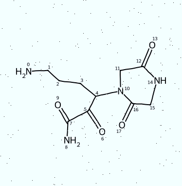 NCCCC(C(=O)C(N)=O)N1CC(=O)NCC1=O